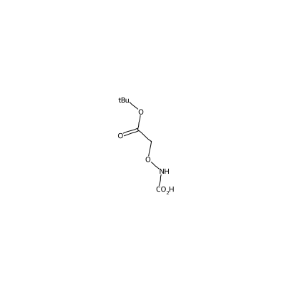 CC(C)(C)OC(=O)CONC(=O)O